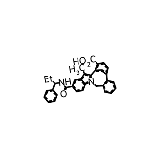 CC[C@@H](NC(=O)c1ccc2c(c1)c(C)c1n2Cc2ccccc2-c2ccc(C(=O)O)c-1c2)c1ccccc1